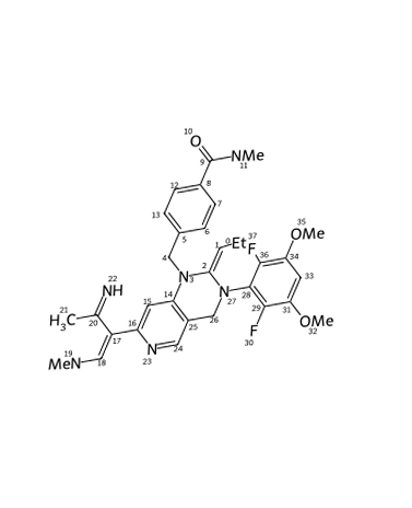 CC/C=C1/N(Cc2ccc(C(=O)NC)cc2)c2cc(/C(=C/NC)C(C)=N)ncc2CN1c1c(F)c(OC)cc(OC)c1F